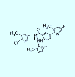 Cc1cc(CNC(=O)c2cc(Cn3ccn(C)c3=N)cc(-c3ncc(F)cc3C)c2)ccc1Cl